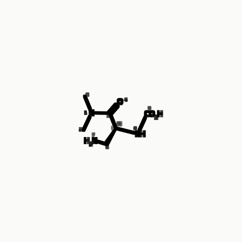 CN(C)C(=O)[C@H](CN)NC(=O)O